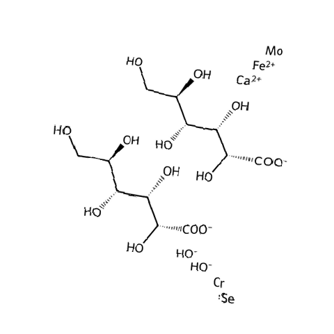 O=C([O-])[C@H](O)[C@@H](O)[C@H](O)[C@H](O)CO.O=C([O-])[C@H](O)[C@@H](O)[C@H](O)[C@H](O)CO.[Ca+2].[Cr].[Fe+2].[Mo].[OH-].[OH-].[Se]